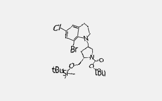 CC(C)(C)OC(=O)N1CC(N2CCCc3cc(Cl)cc(Br)c32)C[C@@H]1CO[Si](C)(C)C(C)(C)C